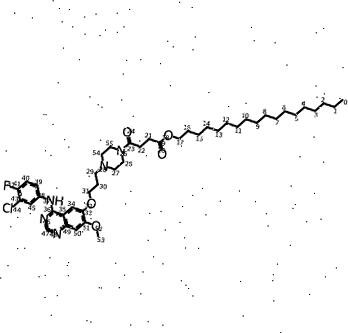 CCCCCCCCCCCCCCCCCCOC(=O)CCC(=O)N1CCN(CCCOc2cc3c(Nc4ccc(F)c(Cl)c4)ncnc3cc2OC)CC1